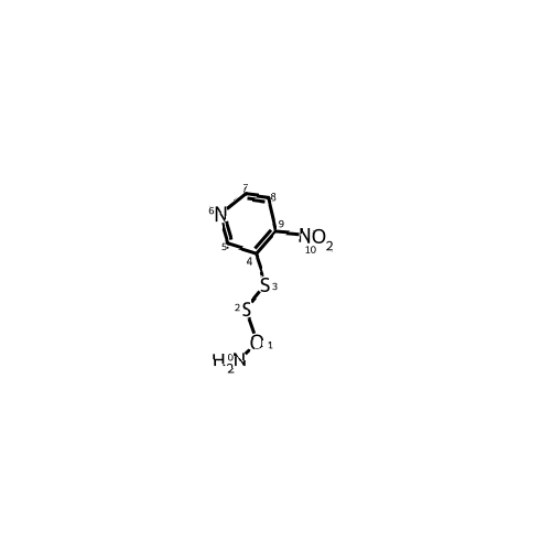 NOSSc1[c]nccc1[N+](=O)[O-]